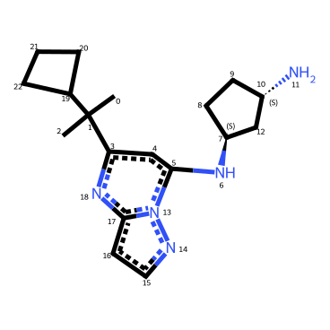 CC(C)(c1cc(N[C@H]2CC[C@H](N)C2)n2nccc2n1)C1CCC1